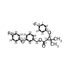 CC1(C)C(Oc2ccc(F)cc2)C1C(=O)OCc1cccc(Oc2ccc(F)cc2)c1